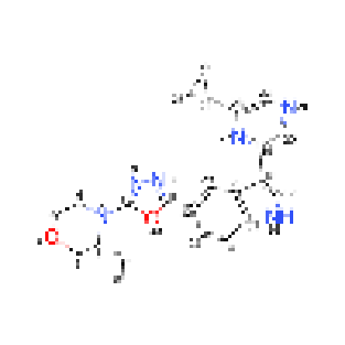 CC[C@@H]1COCCN1c1nnc(-c2ccc3[nH]cc(-c4cncc(C5CC5)n4)c3c2)o1